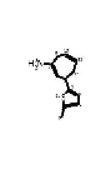 Cc1ccc(C2C=C(N)CC=CC2)s1